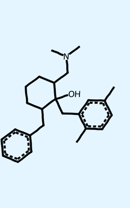 Cc1ccc(C)c(CC2(O)C(Cc3ccccc3)CCCC2CN(C)C)c1